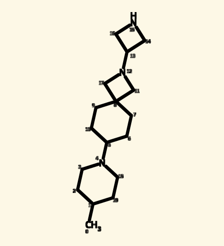 CC1CCN(C2CCC3(CC2)CN(C2CNC2)C3)CC1